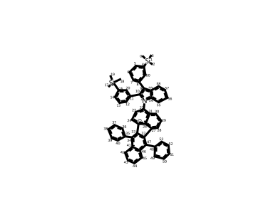 C[Si](C)(C)c1cccc(-c2c(-c3cccc([Si](C)(C)C)c3)n(-c3ccc4c5c(cccc35)-c3c-4c(-c4ccccc4)c4ccccc4c3-c3ccccc3)c3ccccc23)c1